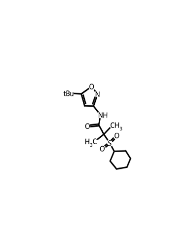 CC(C)(C)c1cc(NC(=O)C(C)(C)S(=O)(=O)C2CCCCC2)no1